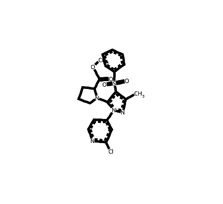 COC(=O)C1CCCN1c1c(S(=O)(=O)c2ccccc2)c(C)nn1-c1ccnc(Cl)c1